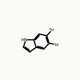 [2H]c1cc2cc[nH]c2cc1[2H]